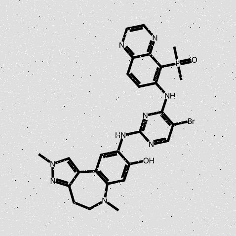 CN1CCc2nn(C)cc2-c2cc(Nc3ncc(Br)c(Nc4ccc5nccnc5c4P(C)(C)=O)n3)c(O)cc21